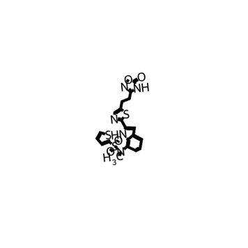 CN(c1cccc2cc(-c3ncc(CCc4noc(=O)[nH]4)s3)[nH]c12)S(=O)(=O)c1cccs1